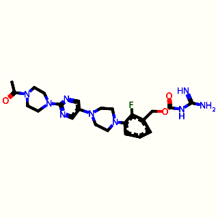 CC(=O)N1CCN(c2ncc(N3CCN(c4cccc(COC(=O)NC(=N)N)c4F)CC3)cn2)CC1